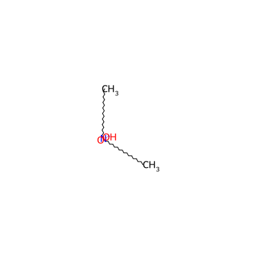 CCCCCCCCCCCCCCCCCC[N+]([O-])(O)CCCCCCCCCCCCCCCCCC